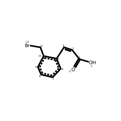 O=C(O)/C=C\c1ccccc1CBr